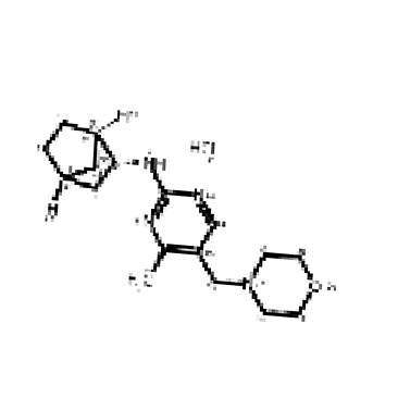 Cl.FC(F)(F)c1nc(N[C@@H]2C[C@@H]3CC[C@@H]2C3)ncc1CN1CCOCC1